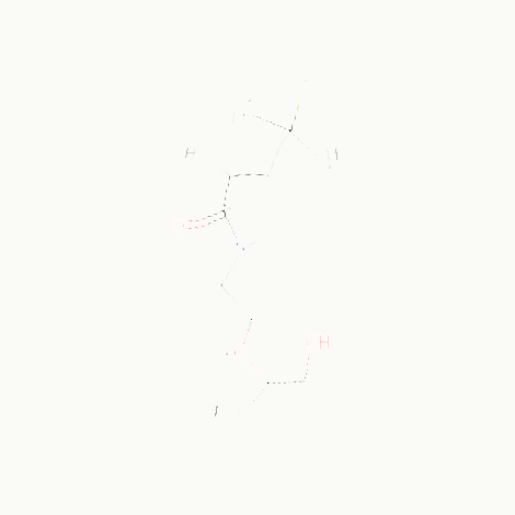 CC(CO)OCCNC(=O)C(C)CC(C)(C)S